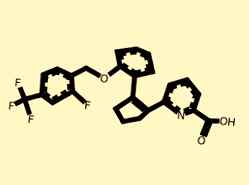 O=C(O)c1cccc(C2=C(c3ccccc3OCc3ccc(C(F)(F)F)cc3F)CCC2)n1